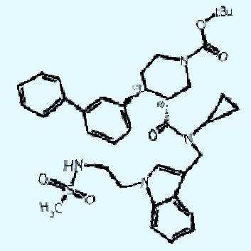 CC(C)(C)OC(=O)N1CC[C@H](c2cccc(-c3ccccc3)c2)[C@@H](C(=O)N(Cc2cn(CCNS(C)(=O)=O)c3ccccc23)C2CC2)C1